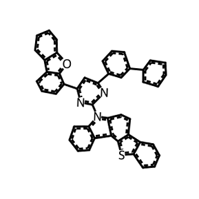 c1ccc(-c2cccc(-c3cc(-c4cccc5c4oc4ccccc45)nc(-n4c5ccccc5c5c6sc7ccccc7c6ccc54)n3)c2)cc1